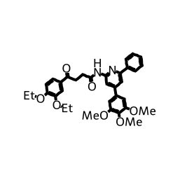 CCOc1ccc(C(=O)CCC(=O)Nc2cc(-c3cc(OC)c(OC)c(OC)c3)cc(-c3ccccc3)n2)cc1OCC